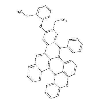 CCc1ccccc1Oc1cc2c(cc1CC)N(c1ccccc1)B1c3cccc4c3N(c3ccccc3O4)c3c1c-2cc1ccccc31